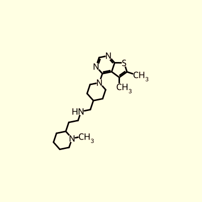 Cc1sc2ncnc(N3CCC(CNCCC4CCCCN4C)CC3)c2c1C